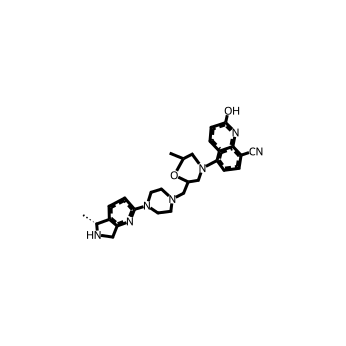 CC1CN(c2ccc(C#N)c3nc(O)ccc23)CC(CN2CCN(c3ccc4c(n3)CN[C@@H]4C)CC2)O1